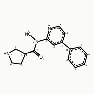 N#CN(C(=O)[C@H]1CCNC1)c1cc(-c2ccccc2)ccn1